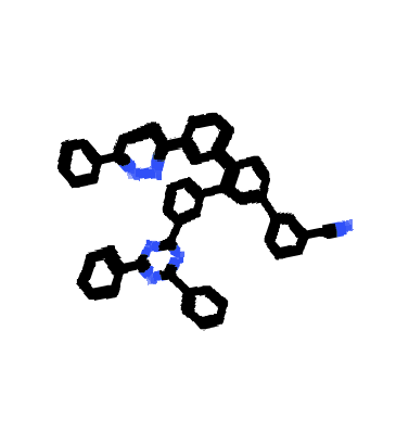 N#Cc1cccc(-c2ccc(-c3cccc(-c4ccc(-c5ccccc5)nn4)c3)c(-c3cccc(-c4nc(-c5ccccc5)nc(-c5ccccc5)n4)c3)c2)c1